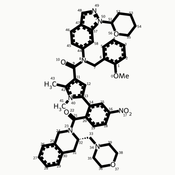 COc1ccccc1CN(C(=O)c1cc(-c2cc([N+](=O)[O-])ccc2C(=O)N2Cc3ccccc3C[C@H]2CN2CCOCC2)n(C)c1C)c1ccc2cnn(C3CCCCO3)c2c1